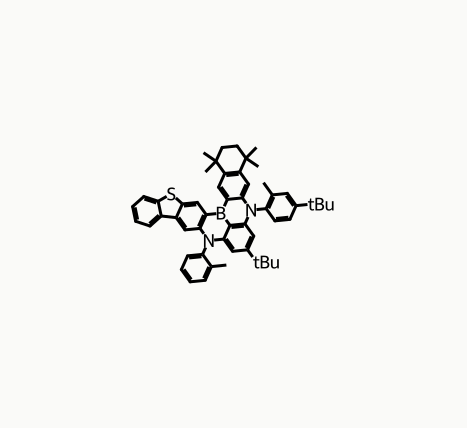 Cc1cc(C(C)(C)C)ccc1N1c2cc3c(cc2B2c4cc5sc6ccccc6c5cc4N(c4ccccc4C)c4cc(C(C)(C)C)cc1c42)C(C)(C)CCC3(C)C